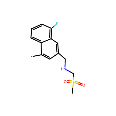 [CH2]c1cc(CNCS(C)(=O)=O)cc2c(F)cccc12